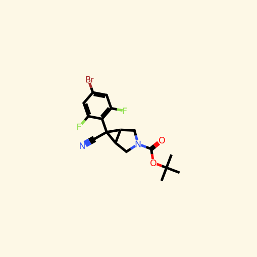 CC(C)(C)OC(=O)N1CC2C(C1)C2(C#N)c1c(F)cc(Br)cc1F